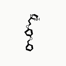 c1ccc(COc2ccc(OCCc3ncc[nH]3)cc2)cc1